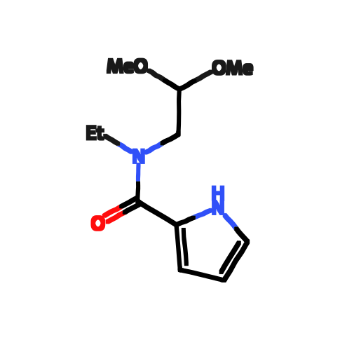 CCN(CC(OC)OC)C(=O)c1ccc[nH]1